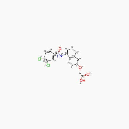 O=C(O)COc1ccc2c(c1)CCCC2NC(=O)c1ccc(Cl)c(Cl)c1